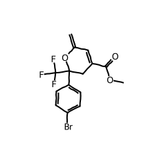 C=C1C=C(C(=O)OC)CC(c2ccc(Br)cc2)(C(F)(F)F)O1